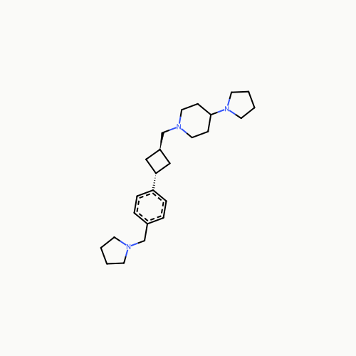 c1cc([C@H]2C[C@H](CN3CCC(N4CCCC4)CC3)C2)ccc1CN1CCCC1